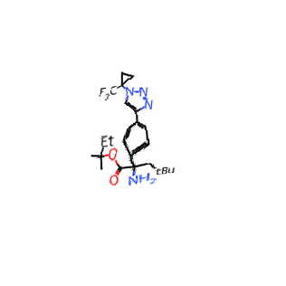 CCC(C)(C)OC(=O)C(N)(CC(C)(C)C)c1ccc(-c2cn(C3(C(F)(F)F)CC3)nn2)cc1